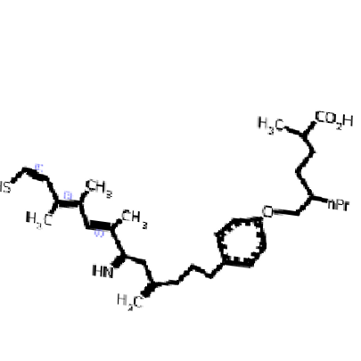 C=C(CCCc1ccc(OCC(CCC)CCC(C)C(=O)O)cc1)CC(=N)/C(C)=C/C(C)=C(C)/C=C\S